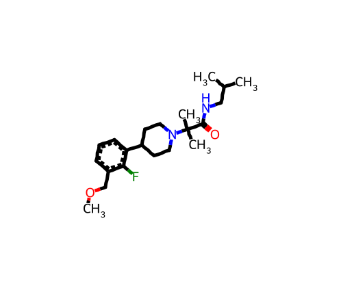 COCc1cccc(C2CCN(C(C)(C)C(=O)NCC(C)C)CC2)c1F